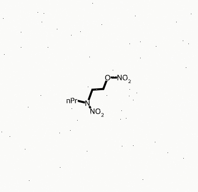 CCCN(CCO[N+](=O)[O-])[N+](=O)[O-]